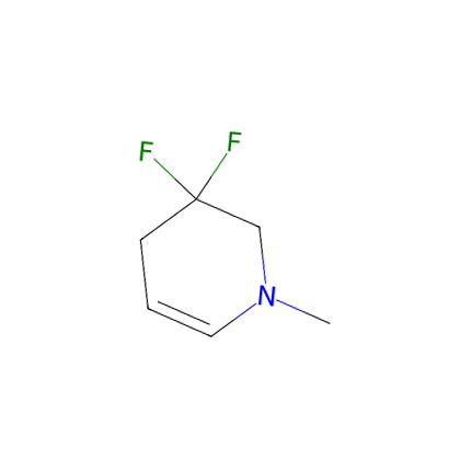 CN1C=CCC(F)(F)C1